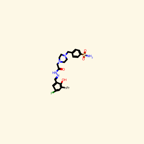 CCCc1cc(F)cc(C=NNC(=O)CN2CCN(Cc3ccc(S(N)(=O)=O)cc3)CC2)c1O